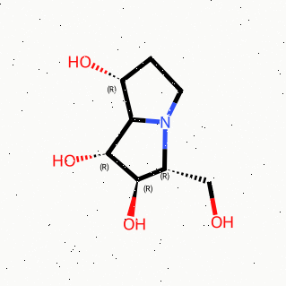 OC[C@@H]1[C@@H](O)[C@H](O)C2[C@H](O)CCN21